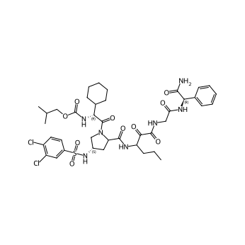 CCCC(NC(=O)C1C[C@H](NS(=O)(=O)c2ccc(Cl)c(Cl)c2)CN1C(=O)[C@H](NC(=O)OCC(C)C)C1CCCCC1)C(=O)C(=O)NCC(=O)N[C@@H](C(N)=O)c1ccccc1